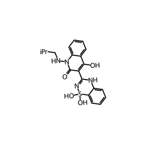 CC(C)CNn1c(=O)c(C2=NS(O)(O)c3ccccc3N2)c(O)c2ccccc21